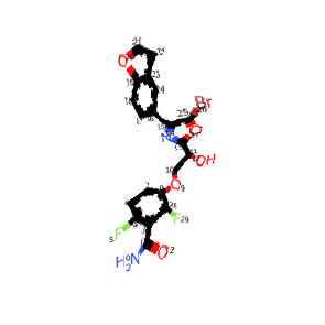 NC(=O)c1c(F)ccc(OCC(O)c2nc(-c3ccc4occc4c3)c(Br)o2)c1F